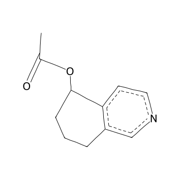 CC(=O)OC1CCCc2cnccc21